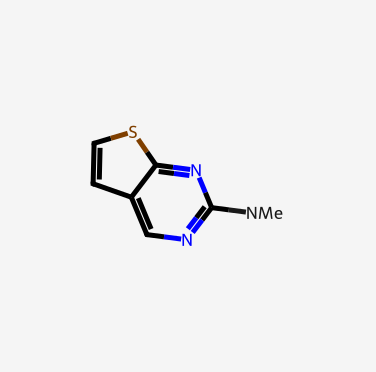 CNc1ncc2ccsc2n1